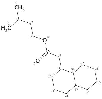 CC(C)CCOC(=O)CC1CCCC2CCCCC21